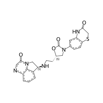 O=C1CSc2ccc(N3C[C@H](CCN[C@@H]4Cn5c(=O)cnc6cccc4c65)OC3=O)cc2N1